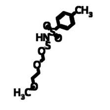 COCCOCOSNS(=O)(=O)c1ccc(C)cc1